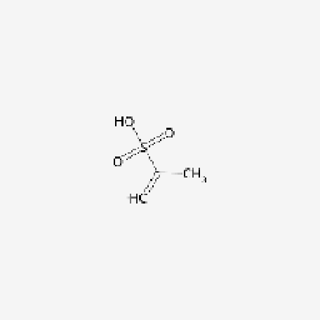 [CH]=C(C)S(=O)(=O)O